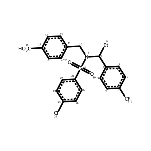 CCC(c1ccc(C(F)(F)F)cc1)N(Cc1ccc(C(=O)O)cc1)S(=O)(=O)c1ccc(Cl)cc1